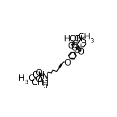 CC(C)(C)OC(=O)NCCCCC#CCOc1ccc(S(=O)(=O)N2CCSC(C)(C)C2C(=O)O)cc1